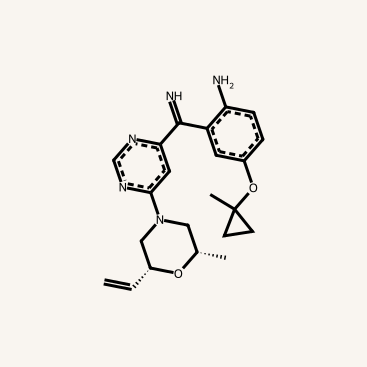 C=C[C@@H]1CN(c2cc(C(=N)c3cc(OC4(C)CC4)ccc3N)ncn2)C[C@H](C)O1